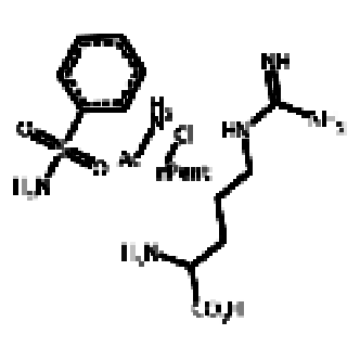 CC(N)=O.CCCCCCl.N=C(N)NCCCC(N)C(=O)O.NS(=O)(=O)c1ccccc1